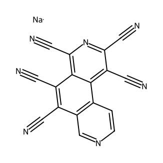 N#Cc1nc(C#N)c2c(C#N)c(C#N)c3cnccc3c2c1C#N.[Na]